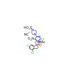 COC(=O)C1(Cc2nc(Cl)nc(N3CCN(C(=O)O)[C@@H](CC#N)C3)c2[N+](=O)[O-])CCc2c(Cl)cc(F)cc21